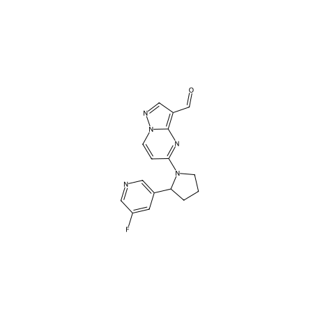 O=Cc1cnn2ccc(N3CCCC3c3cncc(F)c3)nc12